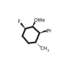 CO[C@H]1[C@@H](C(C)C)[C@H](C)CC[C@H]1F